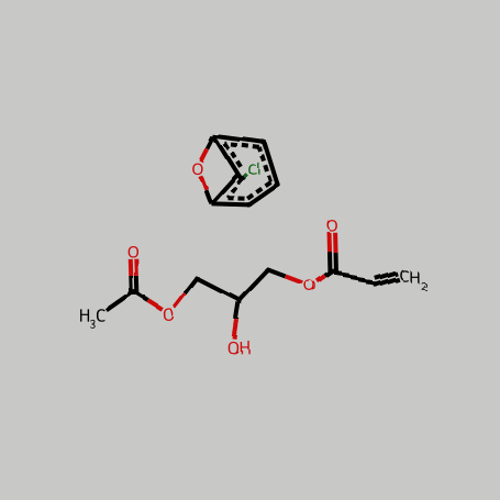 C=CC(=O)OCC(O)COC(C)=O.Clc1c2cccc1O2